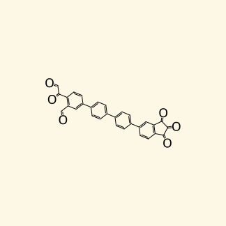 O=CC(=O)c1ccc(-c2ccc(-c3ccc(-c4ccc5c(=O)c(=O)c(=O)c5c4)cc3)cc2)cc1C=O